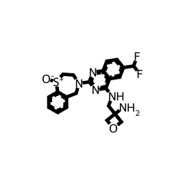 NC1(CNc2nc(N3CC[S+]([O-])c4ccccc4C3)nc3ccc(C(F)F)cc23)COC1